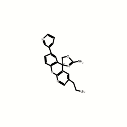 CC(C)(C)CCc1cnc2c(c1)[C@]1(COC(N)=N1)c1cc(-c3cccnc3)ccc1O2